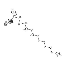 CCCCCCCOCOCCC[CH](C)[Mg][Br]